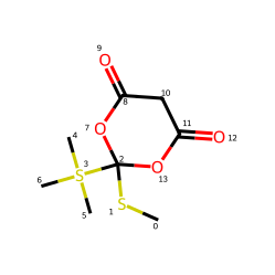 CSC1(S(C)(C)C)OC(=O)CC(=O)O1